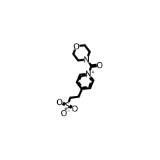 O=C(N1CCOCC1)[n+]1ccc(CCS(=O)(=O)[O-])cc1